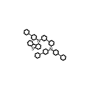 c1ccc(-c2ccc(N(c3ccc(-c4ccccc4)cc3)c3cccc(-c4cccc(N(c5ccc(-c6ccccc6)cc5)c5cccc6sc7ccccc7c56)c4)c3)cc2)cc1